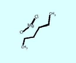 CCCCCC.[Cl][Mg][Cl]